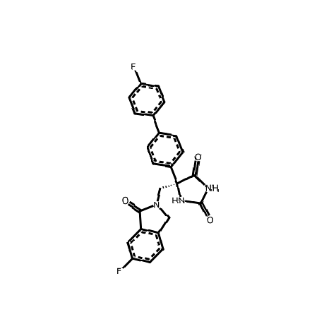 O=C1NC(=O)[C@](CN2Cc3ccc(F)cc3C2=O)(c2ccc(-c3ccc(F)cc3)cc2)N1